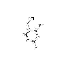 Cc1cnc(CCl)c(F)c1